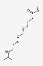 COC(=O)CCCOCSSCCNC(C)C